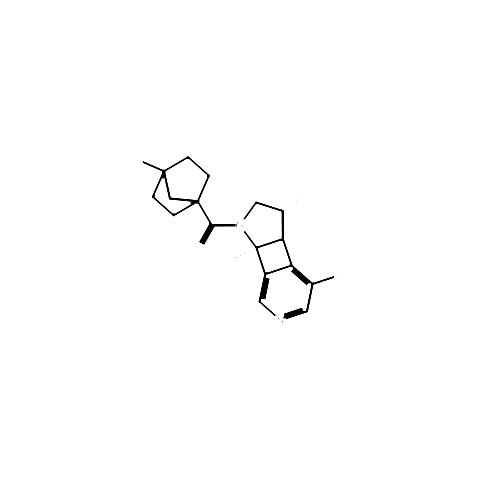 C[C@H]1CN(C(=O)C23CCC(F)(CC2)C3)[C@@H]2c3cncc(Cl)c3C21